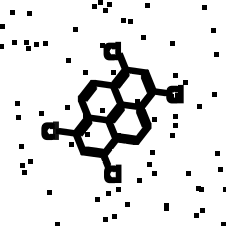 Clc1cc(Cl)c2ccc3c(Cl)cc(Cl)c4ccc1c2c43